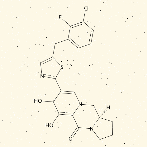 O=C1C2=C(O)C(O)C(c3ncc(Cc4cccc(Cl)c4F)s3)=CN2C[C@H]2CCCN12